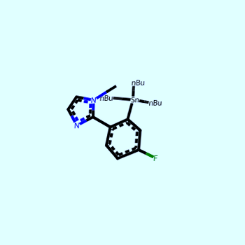 CCC[CH2][Sn]([CH2]CCC)([CH2]CCC)[c]1cc(F)ccc1-c1nccn1C